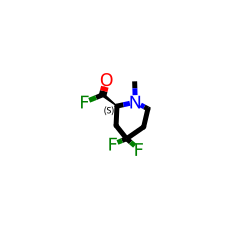 CN1CCC(F)(F)C[C@H]1C(=O)F